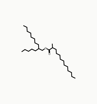 CCCCCCCCCCCC(C)C(=O)OCC(CCCCC)CCCCCCCC